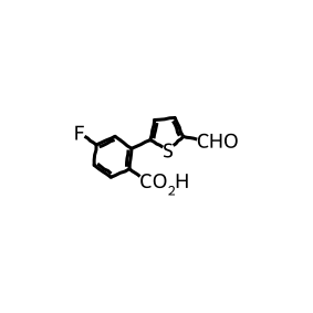 O=Cc1ccc(-c2cc(F)ccc2C(=O)O)s1